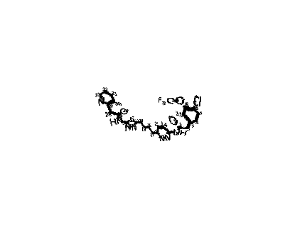 O=C(Cc1ccc(Cl)c(OC(F)(F)F)c1)Nc1ccc(CCCCc2nnc(NC(=O)Cc3ccccn3)s2)nn1